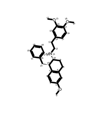 COc1ccc2c(c1)CC[C@@H](NCCc1ccc(OC)c(OC)c1)[C@H]2Cc1ccccc1